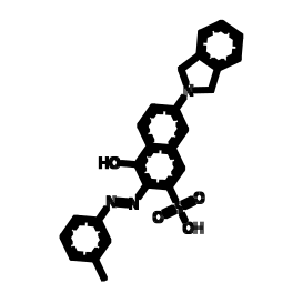 Cc1cccc(N=Nc2c(S(=O)(=O)O)cc3cc(N4Cc5ccccc5C4)ccc3c2O)c1